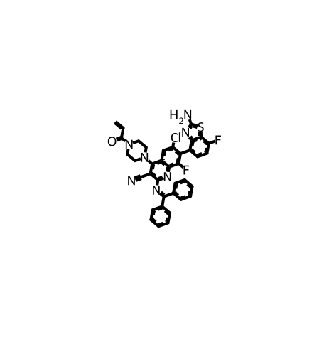 C=CC(=O)N1CCN(c2c(C#N)c(N=C(c3ccccc3)c3ccccc3)nc3c(F)c(-c4ccc(F)c5sc(N)nc45)c(Cl)cc23)CC1